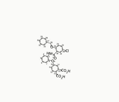 O=C(Nc1ccccc1Oc1ccc(C(=O)O)c(C(=O)O)c1)c1cc(Cl)ccc1OCc1ccccc1